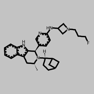 C[C@@H]1Cc2c([nH]c3ccccc23)[C@@H](c2ccc(NC3CN(CCCF)C3)nc2)N1[C@@H]1CCC2CC1C2